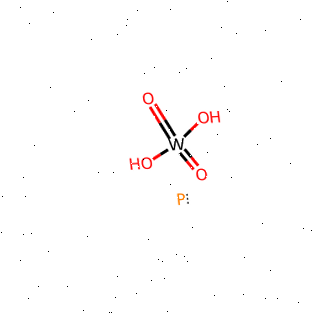 [O]=[W](=[O])([OH])[OH].[P]